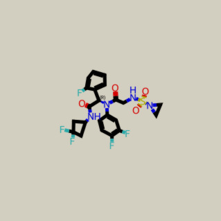 O=C(NC1CC(F)(F)C1)[C@@H](c1ccccc1F)N(C(=O)CNS(=O)(=O)N1CC1)c1ccc(F)c(F)c1